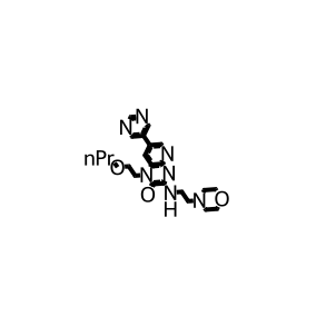 CCCOCCn1c(=O)c(NCCN2CCOCC2)nc2ncc(-c3cncnc3)cc21